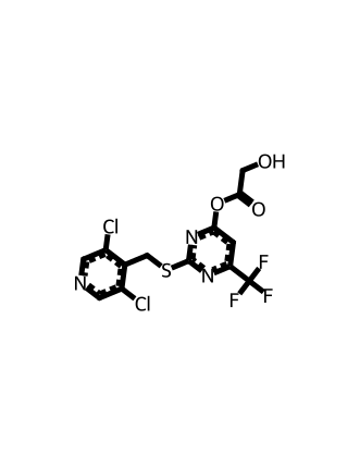 O=C(CO)Oc1cc(C(F)(F)F)nc(SCc2c(Cl)cncc2Cl)n1